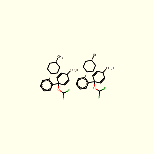 CC[C@H]1CC[C@H](c2ccccc2C2(OC(F)F)C=CC(C(=O)O)C=C2)CC1.C[C@H]1CC[C@H](c2ccccc2C2(OC(F)F)C=CC(C(=O)O)C=C2)CC1